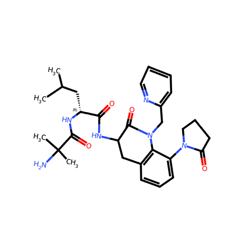 CC(C)C[C@@H](NC(=O)C(C)(C)N)C(=O)NC1Cc2cccc(N3CCCC3=O)c2N(Cc2ccccn2)C1=O